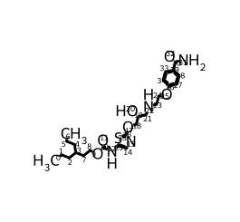 CCCC(CCC)CCOC(=O)Nc1cnc(OCC(O)CNCCOc2ccc(C(N)=O)cc2)s1